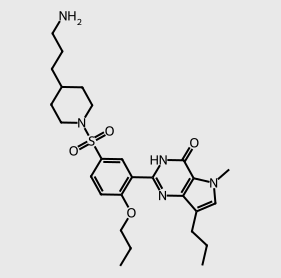 CCCOc1ccc(S(=O)(=O)N2CCC(CCCN)CC2)cc1-c1nc2c(CCC)cn(C)c2c(=O)[nH]1